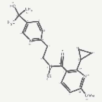 CCN(CCc1ccc(C(C)(C)O)cn1)C(=O)c1ccc(OC)nc1C1CC1